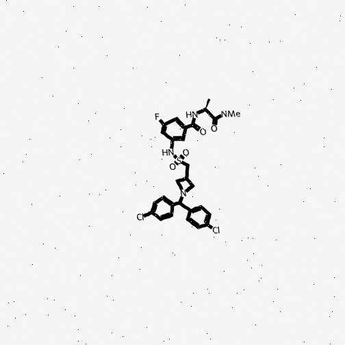 CNC(=O)[C@H](C)NC(=O)c1cc(F)cc(NS(=O)(=O)CC2CN(C(c3ccc(Cl)cc3)c3ccc(Cl)cc3)C2)c1